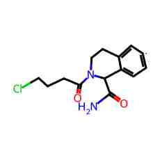 NC(=O)C1c2cc[c]cc2CCN1C(=O)CCCCl